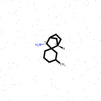 CC1CCCC2(C1)[C@H]1CCC(C1)[C@H]2N